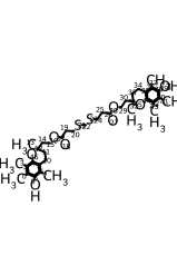 Cc1c(C)c2c(c(C)c1O)CCC(C)(CCOC(=O)CCSCSCCC(=O)OCCC1(C)CCc3c(C)c(O)c(C)c(C)c3O1)O2